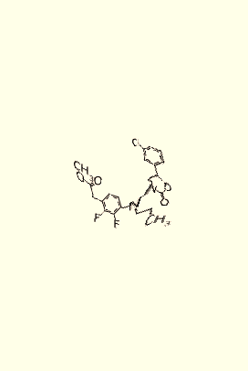 CCCN(c1ccc(CC(=O)OC)c(F)c1F)N1CC(c2cccc(Cl)c2)OC1=O